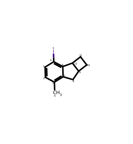 Cc1ccc(I)c2c1CC1CCC21